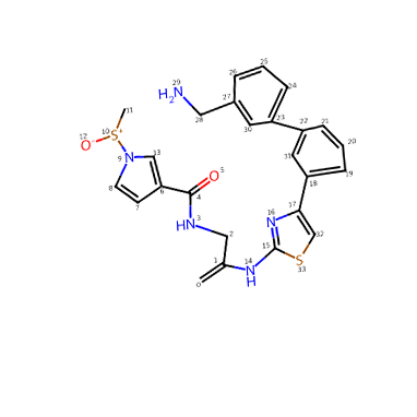 C=C(CNC(=O)c1ccn([S+](C)[O-])c1)Nc1nc(-c2cccc(-c3cccc(CN)c3)c2)cs1